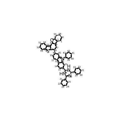 C1=Cc2c(oc3c2cc(-c2ccc4c5ccc(C6NC(c7ccccc7)=NC(c7ccccc7)N6)cc5n(-c5ccccc5)c4c2)c2sc4ccccc4c23)CC1